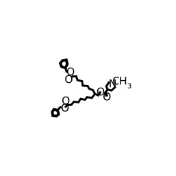 CN1CCC(C(=O)OCC(CCCCCCCC(=O)OCc2ccccc2)CCCCCCCC(=O)OCc2ccccc2)CC1